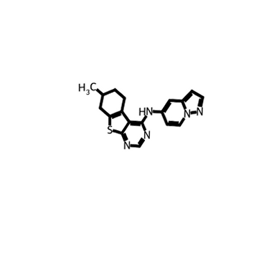 CC1CCc2c(sc3ncnc(Nc4ccn5nccc5c4)c23)C1